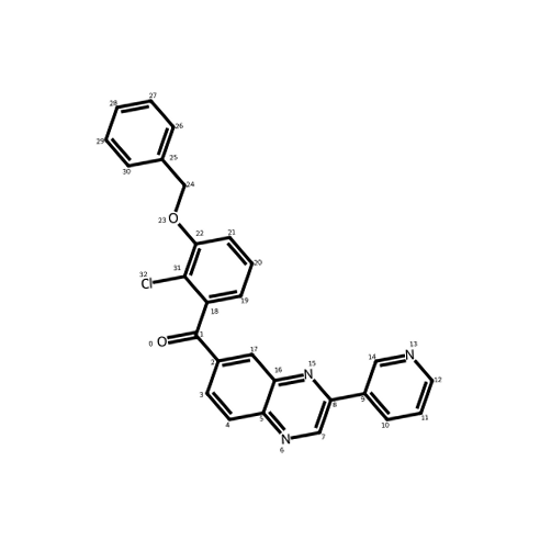 O=C(c1ccc2ncc(-c3cccnc3)nc2c1)c1cccc(OCc2ccccc2)c1Cl